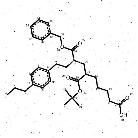 CCCc1ccc(CC[C@H](CC(CCCCC(=O)O)C(=O)OC(C)(C)C)C(=O)OCc2ccccc2)cc1